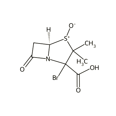 CC1(C)[S+]([O-])[C@@H]2CC(=O)N2C1(Br)C(=O)O